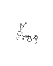 Cc1ccc(-n2cnc(C3CC3)c2)cc1C(=O)Nc1cccc(-c2nncn2C2CC2)n1